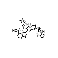 Cc1c(-c2cc3cc(NC(=O)NC4COCC4F)ncc3c(NC(=O)OC(C)(C)C)c2F)cnc2c1N(C(=O)O)CCO2